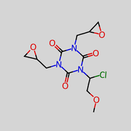 COCC(Cl)n1c(=O)n(CC2CO2)c(=O)n(CC2CO2)c1=O